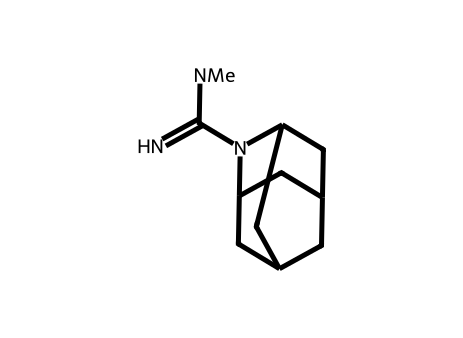 CNC(=N)N1C2CC3CC(C2)CC1C3